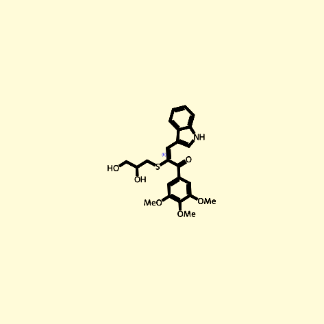 COc1cc(C(=O)/C(=C\c2c[nH]c3ccccc23)SCC(O)CO)cc(OC)c1OC